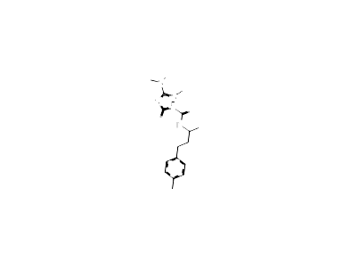 CCN(C)c1nc(=O)n(C(=O)NC(C)CCc2ccc(C)cc2)n1C